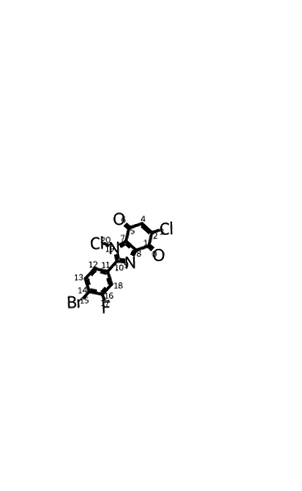 O=C1C(Cl)=CC(=O)c2c1nc(-c1ccc(Br)c(F)c1)n2Cl